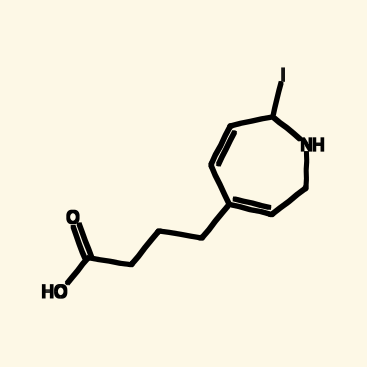 O=C(O)CCCC1=CCNC(I)C=C1